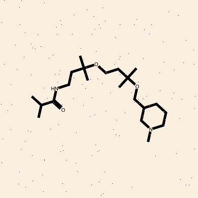 CC(C)C(=O)NCCC(C)(C)OCCC(C)(C)OCC1CCCN(C)C1